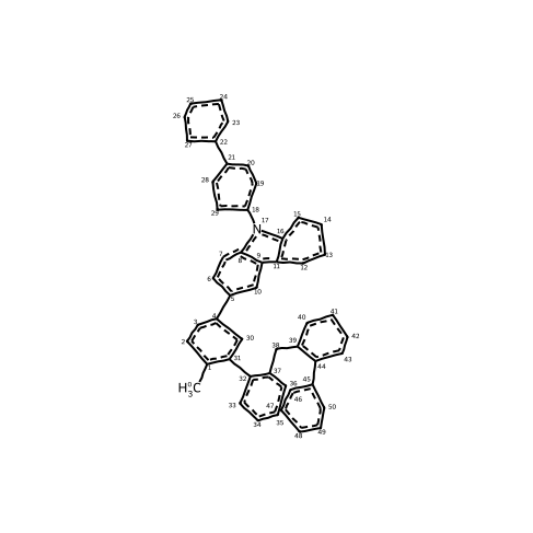 Cc1ccc(-c2ccc3c(c2)c2ccccc2n3-c2ccc(-c3ccccc3)cc2)cc1-c1ccccc1Cc1ccccc1-c1ccccc1